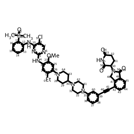 CCc1cc(Nc2ncc(Cl)c(Nc3ccccc3P(C)(C)=O)n2)c(OC)cc1N1CCC(N2CCN(c3cccc(C#Cc4cccc5c4CN(C4CCC(=O)NC4=O)C5=O)c3)CC2)CC1